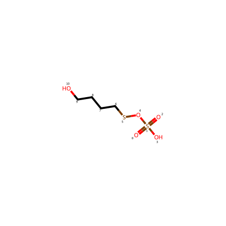 O=S(=O)(O)OSCCCCO